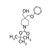 CC(C)(C)OC(=O)N1CCC(CO)(COc2ccccc2)CC1